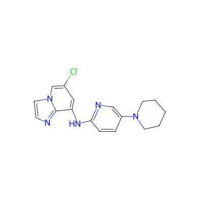 Clc1cc(Nc2ccc(N3CCCCC3)cn2)c2nccn2c1